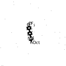 CCCCCCCCc1cnc(-c2ccc(-c3ccc(OC(F)(F)F)cc3)cc2)nc1